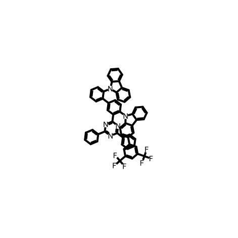 FC(F)(F)c1cc(-c2ccc3c(c2)c2ccccc2n3-c2ccc(-c3ccccc3-n3c4ccccc4c4ccccc43)cc2-c2nc(-c3ccccc3)nc(-c3ccccc3)n2)cc(C(F)(F)F)c1